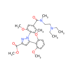 CCN(CC)CCN(C)C(=O)c1ccc(-n2nc(C(=O)OC)cc2-c2c(OC)cccc2OC)c(OC)c1